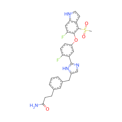 CS(=O)(=O)c1c(Oc2ccc(F)c(-c3ncc(Cc4cccc(CCC(N)=O)c4)[nH]3)c2)c(F)cc2[nH]ccc12